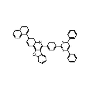 c1ccc(-c2cc(-c3ccccc3)nc(-c3ccc(-c4nc5cc(-c6cccc7ccccc67)ccc5c5oc6ccccc6c45)cc3)n2)cc1